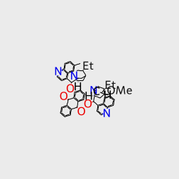 CCC1C[N@@]2CCC1C[C@H]2[C@H](Oc1ccc(O[C@H](c2ccnc3ccc(OC)cc23)[C@@H]2C[C@H]3CCN2CC3CC)c2c1C(=O)c1ccccc1C2=O)c1ccnc2ccc(C)cc12